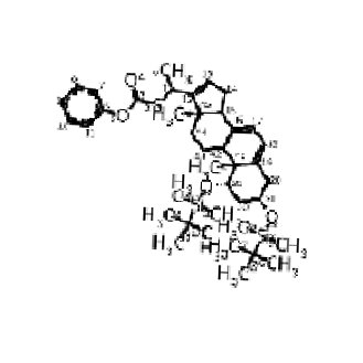 C[C@H](SC(=O)Oc1ccccc1)C1=CCC2C3=CC=C4C[C@@H](O[Si](C)(C)C(C)(C)C)C[C@H](O[Si](C)(C)C(C)(C)C)[C@]4(C)C3CC[C@]12C